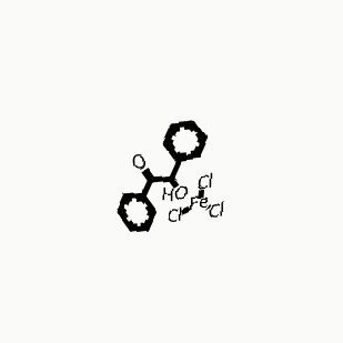 O=C(c1ccccc1)C(O)c1ccccc1.[Cl][Fe]([Cl])[Cl]